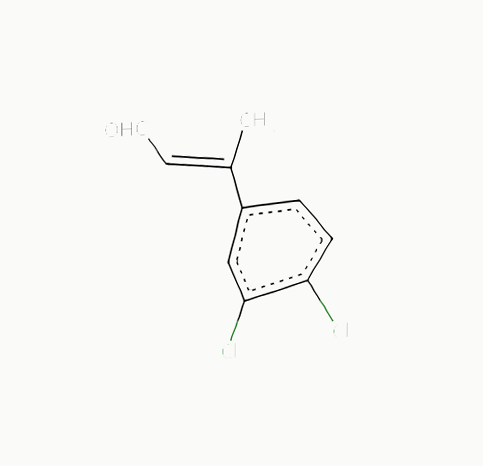 CC(=CC=O)c1ccc(Cl)c(Cl)c1